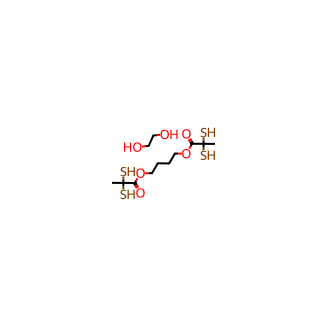 CC(S)(S)C(=O)OCCCCOC(=O)C(C)(S)S.OCCO